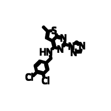 Cc1cc2c(NCc3ccc(Cl)c(Cl)c3)nc(-n3cncn3)nc2s1